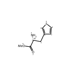 COC(=O)[C@H](N)Cc1ccsc1